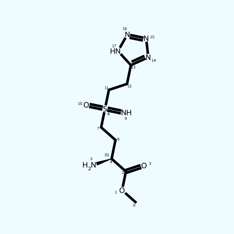 COC(=O)[C@@H](N)CCS(=N)(=O)CCc1nnn[nH]1